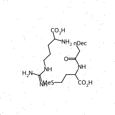 CCCCCCCCCCCC(=O)NC(CCSC)C(=O)O.N=C(N)NCCCC(N)C(=O)O